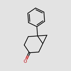 O=C1CCC2(c3ccccc3)CC2C1